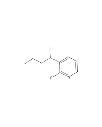 CCCC(C)c1cccnc1F